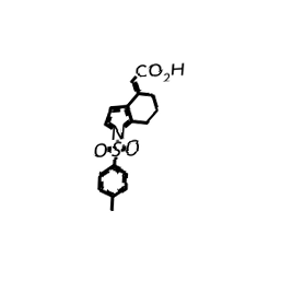 Cc1ccc(S(=O)(=O)n2ccc3c2CCCC3=CC(=O)O)cc1